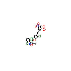 COC(=O)c1cc(C#Cc2ccc(OCc3c(-c4c(Cl)cccc4Cl)noc3C3CC3)cc2Cl)cc([N+](=O)[O-])c1C